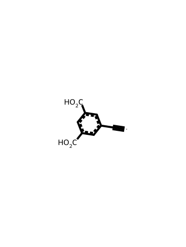 [C]#Cc1cc(C(=O)O)cc(C(=O)O)c1